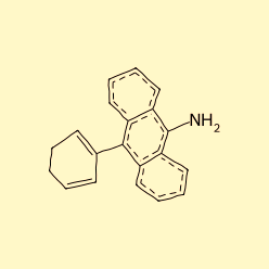 Nc1c2ccccc2c(C2=CCCC=C2)c2ccccc12